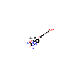 COc1c(OCCCCCCCCO)ccc2c1C(C)N1C(=N2)NC(=O)C1C(N)=O